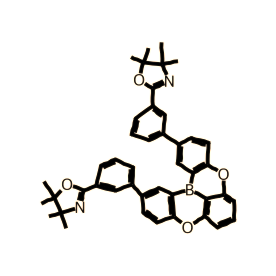 CC1(C)N=C(c2cccc(-c3ccc4c(c3)B3c5cc(-c6cccc(C7=NC(C)(C)C(C)(C)O7)c6)ccc5Oc5cccc(c53)O4)c2)OC1(C)C